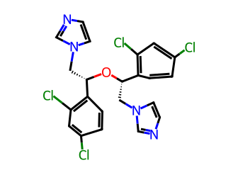 Clc1ccc([C@H](Cn2ccnc2)O[C@@H](Cn2ccnc2)c2ccc(Cl)cc2Cl)c(Cl)c1